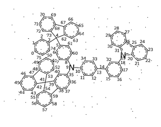 c1ccc(C2(c3ccc(N(c4ccc(-c5cccc(-n6c7ccccc7c7ccccc76)c5)cc4)c4ccc5c(c4)C4(c6ccccc6-c6ccccc64)c4ccccc4-5)cc3)c3ccccc3-c3ccccc32)cc1